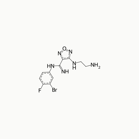 N=C(Nc1ccc(F)c(Br)c1)c1nonc1NCCN